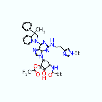 CCC(=O)N[C@H]1C[C@@H](n2cnc3c(NCC(C)(c4ccccc4)c4ccccc4)nc(NCCc4cn(CC)cn4)nc32)[C@H](OC(=O)C(F)(F)F)[C@@H]1O